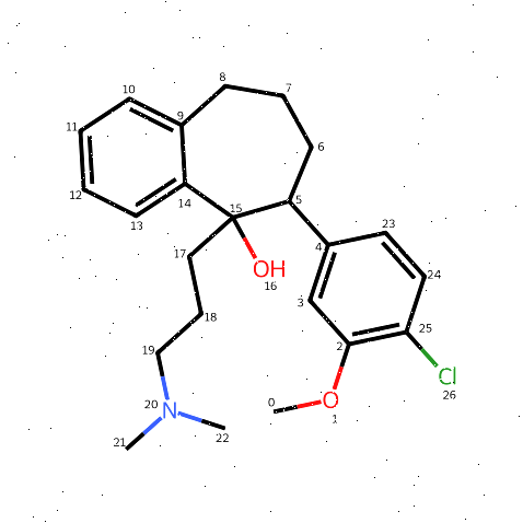 COc1cc(C2CCCc3ccccc3C2(O)CCCN(C)C)ccc1Cl